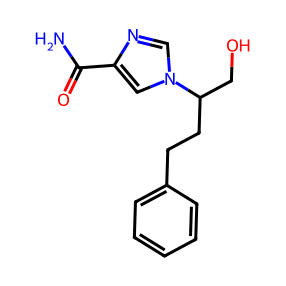 NC(=O)c1cn(C(CO)CCc2ccccc2)cn1